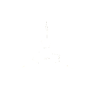 CC#Cc1cc2c(s1)c1cc(C#CC)sc1c1cc(C#CC)sc21